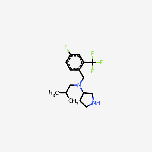 CC(C)CN(Cc1ccc(F)cc1C(F)(F)F)[C@@H]1CCNC1